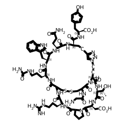 C[C@@H](O)[C@@H]1NC(=O)[C@@H]2CCn3cc(nn3)CC[C@H](C(=O)N[C@@H](Cc3ccc(O)cc3)C(=O)O)NC(=O)[C@H](CCC(N)=O)NC(=O)[C@H](Cc3c[nH]c4ccccc34)NC(=O)[C@H](CCCNC(N)=O)NC(=O)C(CSSCC(NC(=O)CN)C(=O)N2)NC(=O)[C@H](CCCNC(=N)N)NC(=O)C2CCCN2C(=O)[C@H](CC(=O)O)NC1=O